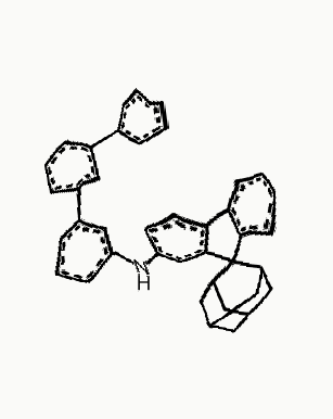 c1ccc(-c2cccc(-c3cccc(Nc4ccc5c(c4)C4(c6ccccc6-5)C5CC6CC(C5)CC4C6)c3)c2)cc1